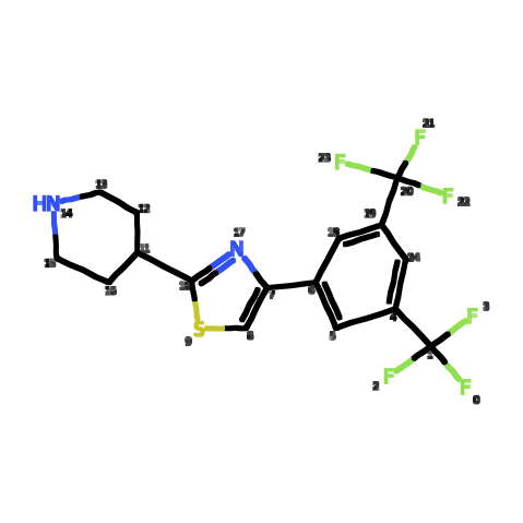 FC(F)(F)c1cc(-c2csc(C3CCNCC3)n2)cc(C(F)(F)F)c1